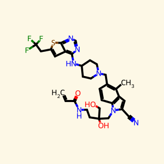 C=CC(=O)NCCC(O)(CO)Cn1c(C#N)cc2c(C)c(CN3CCC(Nc4ncnc5sc(CC(F)(F)F)cc45)CC3)ccc21